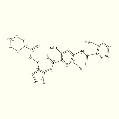 COc1cc(NC(=O)c2ccccc2C)c(Cl)cc1C(=O)N=c1sccn1COC(=O)C1CCNCC1